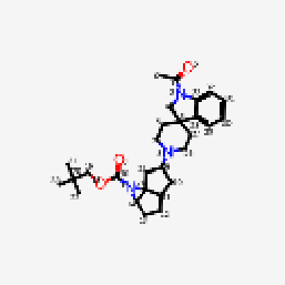 CC(=O)N1CC2(CCN(C3CC4CCC5N(C(=O)OCC(C)(C)C)C45C3)CC2)c2ccccc21